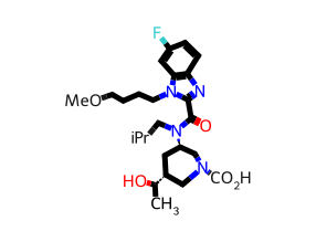 COCCCCn1c(C(=O)N(CC(C)C)[C@H]2C[C@@H](C(C)O)CN(C(=O)O)C2)nc2ccc(F)cc21